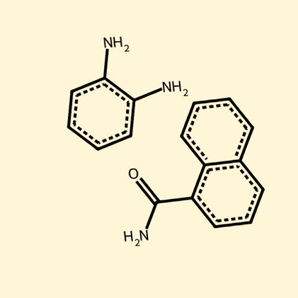 NC(=O)c1cccc2ccccc12.Nc1ccccc1N